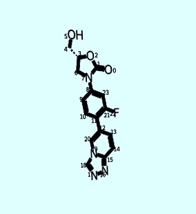 O=C1O[C@@H](CO)CN1c1ccc(-c2ccc3nncn3c2)c(F)c1